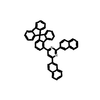 c1ccc2c(c1)-c1ccccc1C21c2ccccc2-c2c(-c3cc(-c4ccc5ccccc5c4)nc(-c4ccc5ccccc5c4)n3)cccc21